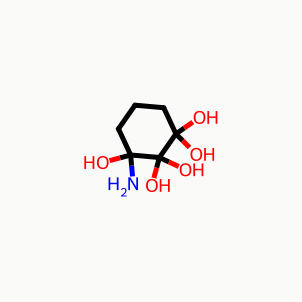 NC1(O)CCCC(O)(O)C1(O)O